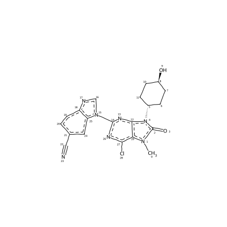 Cn1c(=O)n([C@H]2CC[C@H](O)CC2)c2nc(-n3cnc4ccc(C#N)cc43)nc(Cl)c21